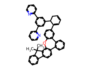 CC1(C)c2ccccc2-c2ccc3c(c21)Oc1ccc(C2=CC=CCC2c2cc(-c4ccccn4)cc(-c4ccccn4)c2)cc1-c1ccccc1-3